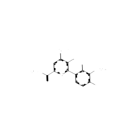 COC(=O)c1cc(NC(C)=O)c(F)c(-c2ccc(Cl)c(OC)c2F)n1